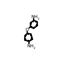 Nc1ccc(Oc2cccc(N)c2)cc1